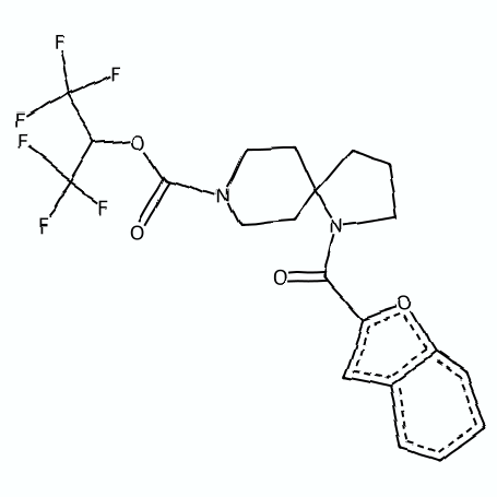 O=C(OC(C(F)(F)F)C(F)(F)F)N1CCC2(CCCN2C(=O)c2cc3ccccc3o2)CC1